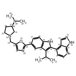 CC(C)c1c(-c2ccnc3[nH]ncc23)[nH]c2ccc(-c3ncc(CN4CC[C@@H](N(C)C)C4)o3)cc12